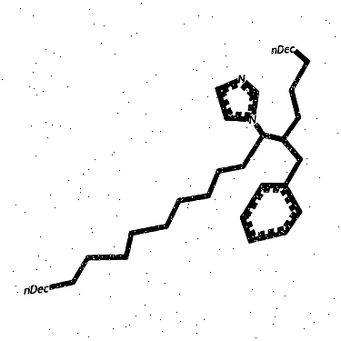 CCCCCCCCCCCCCCCCCCCC(C(CCCCCCCCCCCCC)Cc1ccccc1)n1ccnc1